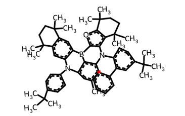 Cc1cc2c3c(c1)N(c1ccc(C(C)(C)C)cc1-c1ccccc1)c1c(oc4c1C(C)(C)CCC4(C)C)B3c1cc3c(cc1N2c1ccc(C(C)(C)C)cc1)C(C)(C)CCC3(C)C